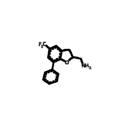 NCC1Cc2cc(C(F)(F)F)cc(-c3ccccc3)c2O1